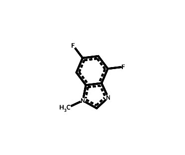 Cn1cnc2c(F)cc(F)cc21